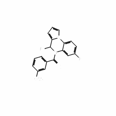 CCC1c2cccn2-c2ccc(Br)cc2N1C(=O)c1cccc(OC)c1